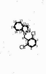 Clc1cccc(Cl)c1Cn1n[c]c2ccccc21